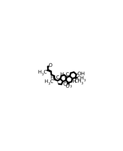 C/C(C=O)=C\CC[C@@H](C)[C@H]1CC[C@@]2(C)C3=C(CC[C@]12C)[C@@]1(C)CC[C@H](O)C(C)(C)[C@@H]1CC3=O